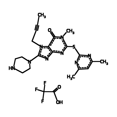 CC#CCn1c(N2CCNCC2)nc2nc(Sc3nc(C)cc(C)n3)n(C)c(=O)c21.O=C(O)C(F)(F)F